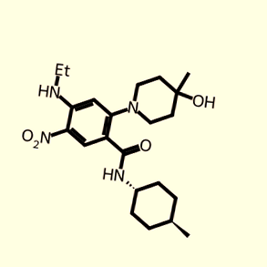 CCNc1cc(N2CCC(C)(O)CC2)c(C(=O)N[C@H]2CC[C@H](C)CC2)cc1[N+](=O)[O-]